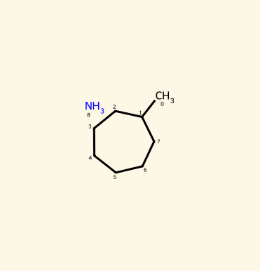 CC1CCCCCC1.N